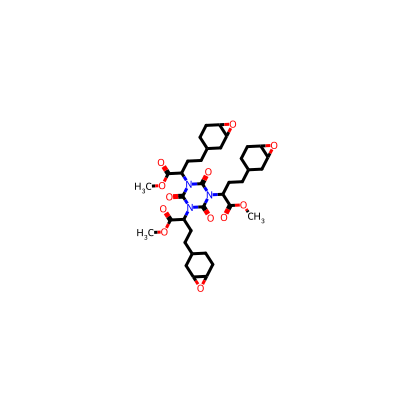 COC(=O)C(CCC1CCC2OC2C1)n1c(=O)n(C(CCC2CCC3OC3C2)C(=O)OC)c(=O)n(C(CCC2CCC3OC3C2)C(=O)OC)c1=O